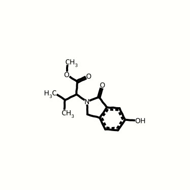 COC(=O)C(C(C)C)N1Cc2ccc(O)cc2C1=O